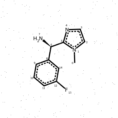 Cn1ccnc1[C@H](N)c1cccc(F)c1